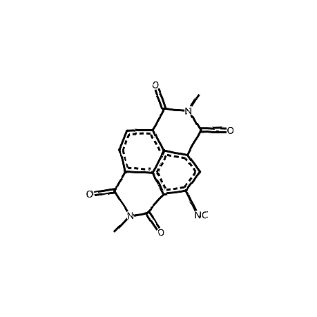 [C-]#[N+]c1cc2c3c(ccc4c3c1C(=O)N(C)C4=O)C(=O)N(C)C2=O